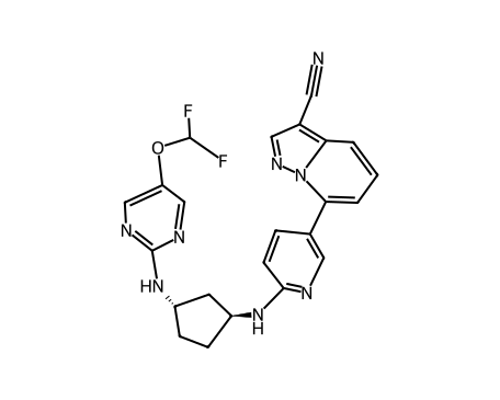 N#Cc1cnn2c(-c3ccc(N[C@H]4CC[C@H](Nc5ncc(OC(F)F)cn5)C4)nc3)cccc12